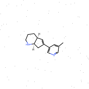 Cc1cncc(C2=C[C@@H]3CCCN[C@@H]3C2)c1